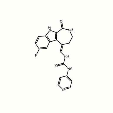 O=C(NC=C1CCNC(=O)c2[nH]c3ccc(F)cc3c21)Nc1ccncc1